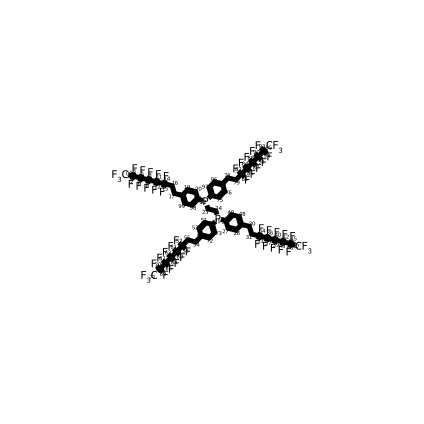 FC(F)(F)C(F)(F)C(F)(F)C(F)(F)C(F)(F)C(F)(F)CCc1ccc(P(CCP(c2ccc(CCC(F)(F)C(F)(F)C(F)(F)C(F)(F)C(F)(F)C(F)(F)F)cc2)c2ccc(CCC(F)(F)C(F)(F)C(F)(F)C(F)(F)C(F)(F)C(F)(F)F)cc2)c2ccc(CCC(F)(F)C(F)(F)C(F)(F)C(F)(F)C(F)(F)C(F)(F)F)cc2)cc1